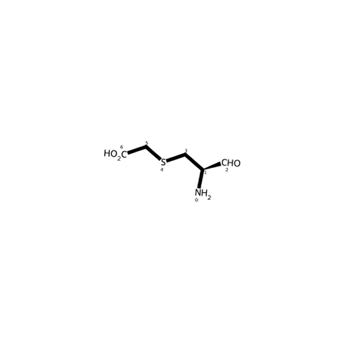 N[C@H](C=O)CSCC(=O)O